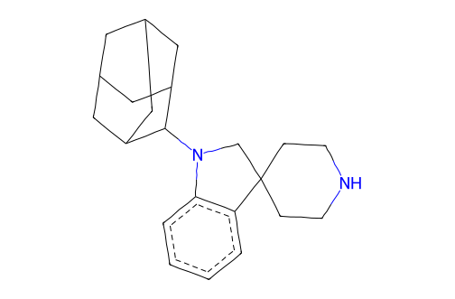 c1ccc2c(c1)N(C1C3CC4CC(C3)CC1C4)CC21CCNCC1